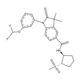 CC1(C)C(=O)N(c2cccc(OC(F)F)c2)c2ccc(C(=O)N[C@H]3CCC[C@@H]3S(C)(=O)=O)cc21